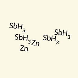 [SbH3].[SbH3].[SbH3].[SbH3].[Zn].[Zn]